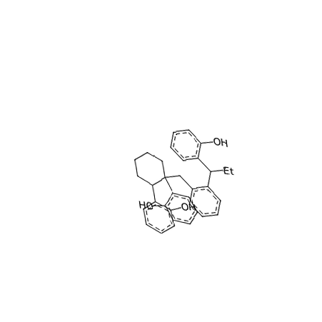 CCC(c1ccccc1O)c1ccccc1CC1(c2ccccc2O)CCCCC1c1ccccc1O